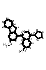 Cc1cc2c(c(-c3ncc(C4CCCC4)c4ccc(C(C)C)cc34)c1)Cc1ccccc1-2